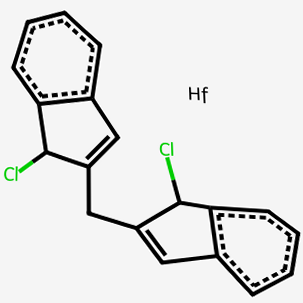 ClC1C(CC2=Cc3ccccc3C2Cl)=Cc2ccccc21.[Hf]